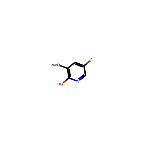 COc1cc(F)cnc1O